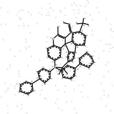 C/C=C\C1=C(C)Oc2ccc(N(c3ccc(-c4ccccc4)cc3)c3cccc(-c4ccccc4)c3)cc2C12c1cc(C(C)(C)C)ccc1-c1ccc(C(C)(C)C)cc12